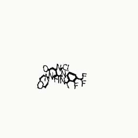 C[C@@H](Nc1nc(Cl)nc2cc(=O)n(N3CCOCC3)cc12)c1cccc(C(F)F)c1F